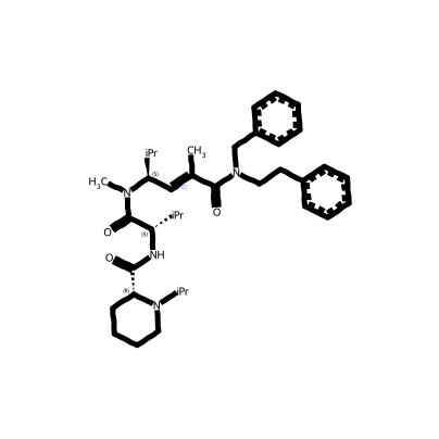 C/C(=C\[C@H](C(C)C)N(C)C(=O)[C@@H](NC(=O)[C@H]1CCCCN1C(C)C)C(C)C)C(=O)N(CCc1ccccc1)Cc1ccccc1